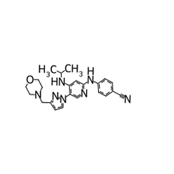 CC(C)Nc1cc(Nc2ccc(C#N)cc2)ncc1-n1ccc(CN2CCOCC2)n1